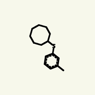 Cc1cccc(SC2CCCCCCC2)c1